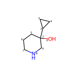 OC1(C2CC2)CCCNC1